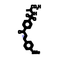 CSc1ccc(/C=C/C(=O)c2ccc(S(=O)(=O)NC(C)C(=O)O)cc2)cc1